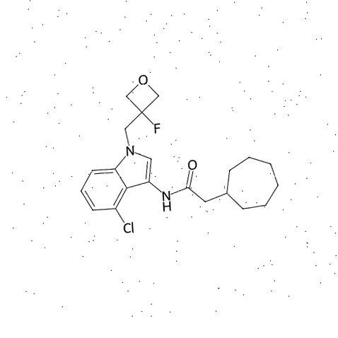 O=C(CC1CCCCCC1)Nc1cn(CC2(F)COC2)c2cccc(Cl)c12